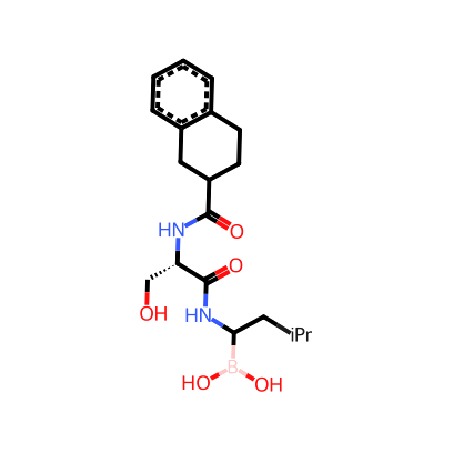 CC(C)CC(NC(=O)[C@H](CO)NC(=O)C1CCc2ccccc2C1)B(O)O